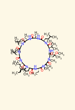 C=C1C(=O)N(C)[C@@H](CC(C)(C)OC)C(=O)N[C@H](C(C)C)C(=O)N(C)[C@H](CCC(C)C)C(=O)N[C@H](C)C(=O)N[C@@H](C)C(=O)N(C)[C@@H](CC(C)C)C(=O)N(C)[C@@H](CC(C)C)C(=O)N(C)[C@@H](C(C)C)C(=O)N(C)[C@@H]([C@H](O)[C@H](C)C/C=C/C)C(=O)N[C@@H](CC)C(=O)N1C